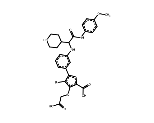 COc1ccc(NC(=O)C(Nc2cccc(-c3sc(C(=O)O)c(OCC(=O)O)c3Br)c2)C2CCNCC2)cc1